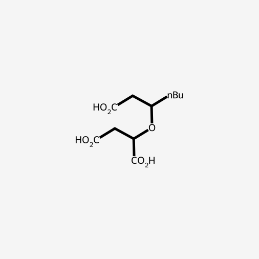 CCCCC(CC(=O)O)OC(CC(=O)O)C(=O)O